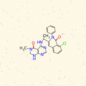 CC(Nc1ncnc2c1C(=O)N(C)CN2)c1cc2cccc(Cl)c2c(=O)n1-c1ccccc1